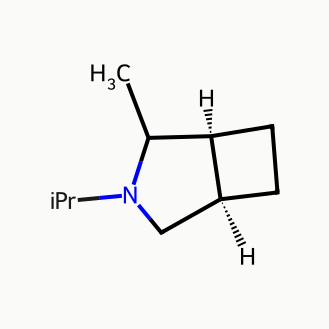 CC(C)N1C[C@@H]2CC[C@@H]2C1C